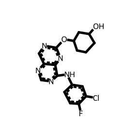 OC1CCCC(Oc2ncc3ncnc(Nc4ccc(F)c(Cl)c4)c3n2)C1